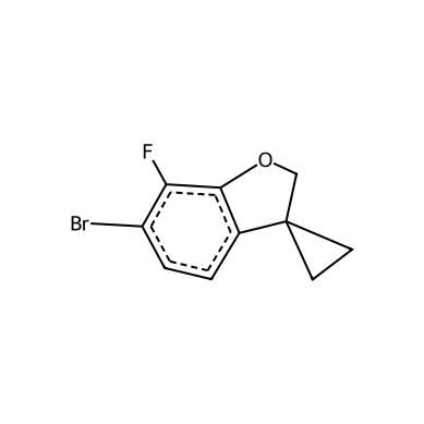 Fc1c(Br)ccc2c1OCC21CC1